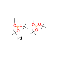 CC(C)(C)OP(OC(C)(C)C)OC(C)(C)C.CC(C)(C)OP(OC(C)(C)C)OC(C)(C)C.[Pd]